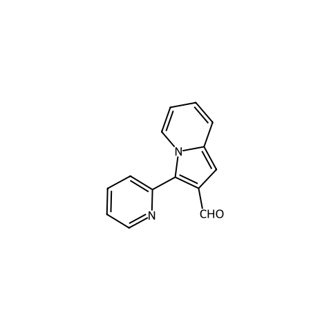 O=Cc1cc2ccccn2c1-c1ccccn1